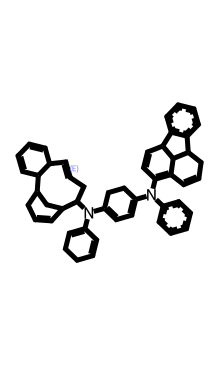 C1=CC2/C=C/CC(N(C3=CCCC=C3)C3=CC=C(N(C4=C5C=CCC6c7ccccc7C(C=C4)C56)c4ccccc4)CC3)C3C=CCC(C3)C2C=C1